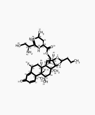 CCCC1O[C@@H]2CC3[C@@H]4C[C@H](F)C5=CC(=O)C=C[C@]5(C)[C@@]4(F)[C@@H](O)C[C@]3(C)[C@]2(C(=O)COC(=O)[C@H](CC(C)C)NC(=O)[C@@H](N)CO)O1